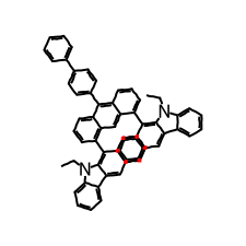 CCn1c2ccccc2c2cc3ccccc3c(-c3cccc4c(-c5ccc(-c6ccccc6)cc5)c5cccc(-c6c7ccccc7cc7c8ccccc8n(CC)c67)c5cc34)c21